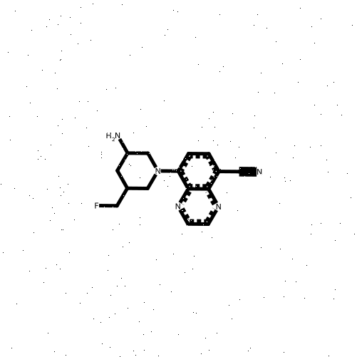 N#Cc1ccc(N2CC(N)CC(CF)C2)c2nccnc12